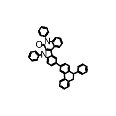 O=c1c2c(c3ccccc3n1-c1ccccc1)c1cc(-c3ccc4c(c3)-c3ccccc3CC4c3ccccc3)ccc1n2-c1ccccc1